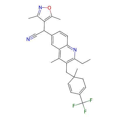 CCc1nc2ccc(C(C#N)c3c(C)noc3C)cc2c(C)c1CC1(C)C=CC(C(F)(F)F)=CC1